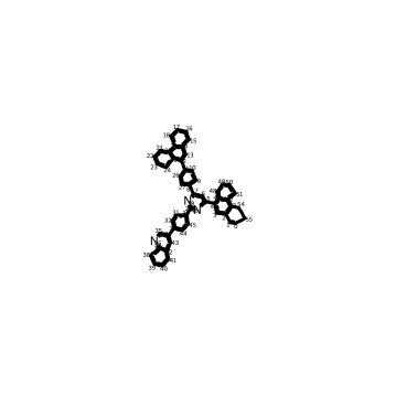 C1=Cc2cc(-c3cc(-c4ccc(-c5cc6ccccc6c6ccccc56)cc4)nc(-c4ccc(-c5cnc6ccccc6c5)cc4)n3)c3ccccc3c2CC1